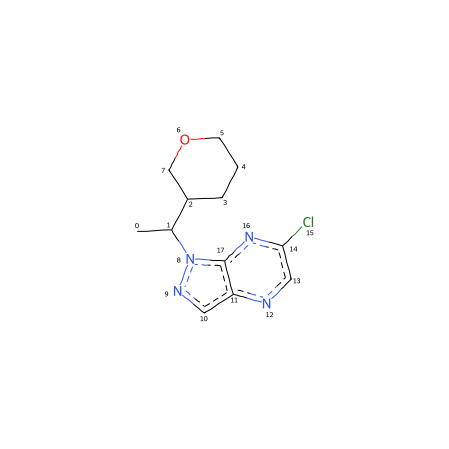 CC(C1CCCOC1)n1ncc2ncc(Cl)nc21